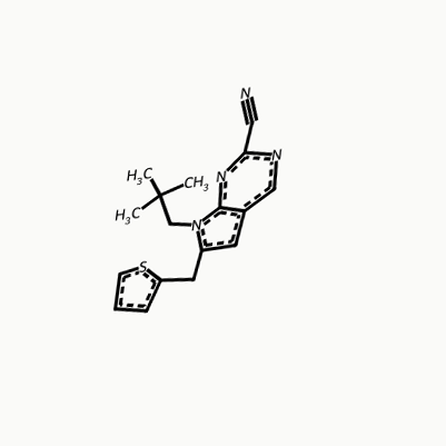 CC(C)(C)Cn1c(Cc2cccs2)cc2cnc(C#N)nc21